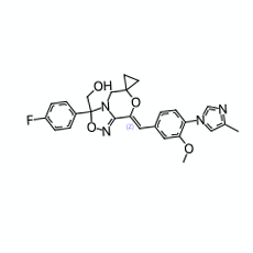 COc1cc(/C=C2\OC3(CC3)CN3C2=NOC3(CO)c2ccc(F)cc2)ccc1-n1cnc(C)c1